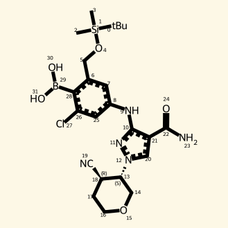 CC(C)(C)[Si](C)(C)OCc1cc(Nc2nn([C@@H]3COCC[C@H]3C#N)cc2C(N)=O)cc(Cl)c1B(O)O